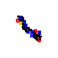 Cn1ccc2nc(-c3ccc4cnc(CNC(=O)c5ccc6c(c5)[C@](C)(C#N)COC6)cc4n3)sc2c1=O